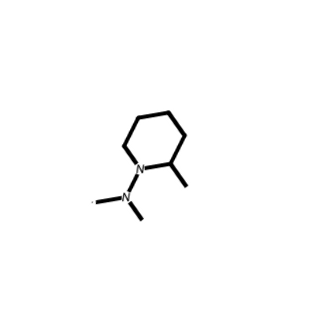 [CH2]N(C)N1CCCCC1C